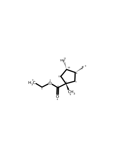 CCOC(=O)[C@@]1(C)C[C@@H](F)[C@@H]([18F])C1